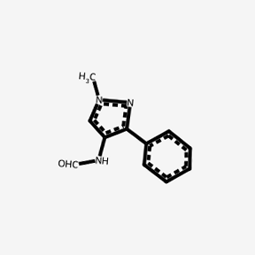 Cn1cc(NC=O)c(-c2ccccc2)n1